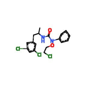 CC(Cc1cc(Cl)cc(Cl)c1)NC(=O)N(OCCCl)c1ccccc1